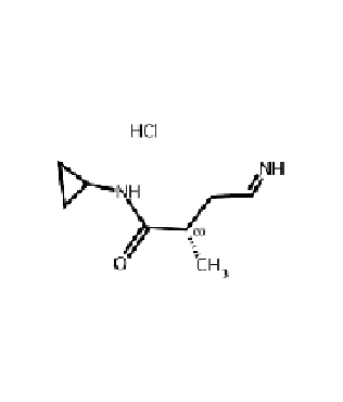 C[C@@H](CC=N)C(=O)NC1CC1.Cl